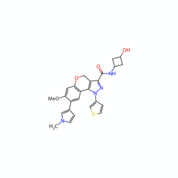 COc1cc2c(cc1-c1ccn(C)c1)-c1c(c(C(=O)NC3CC(O)C3)nn1-c1ccsc1)CO2